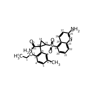 CCOc1ccc(C)cc1C1(C(N)=O)CC1S(=O)(=O)c1cccc2nc(N)ccc12